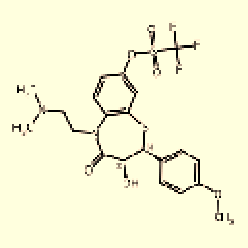 COc1ccc([C@@H]2Sc3cc(OS(=O)(=O)C(F)(F)F)ccc3N(CCN(C)C)C(=O)[C@@H]2O)cc1